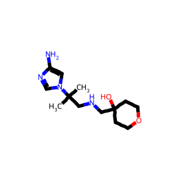 CC(C)(CNCC1(O)CCOCC1)n1cnc(N)c1